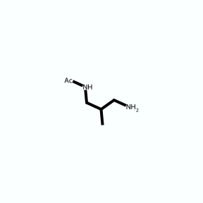 CC(=O)NCC(C)CN